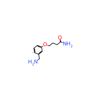 NCc1[c]ccc(OCCCC(N)=O)c1